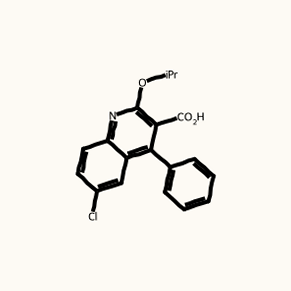 CC(C)Oc1nc2ccc(Cl)cc2c(-c2ccccc2)c1C(=O)O